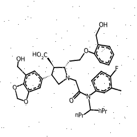 CCCC(CCC)N(C(=O)CN1C[C@H](c2cc(CO)c3c(c2)OCO3)[C@@H](C(=O)O)[C@@H]1CCOc1ccccc1CO)c1ccc(F)c(C)c1